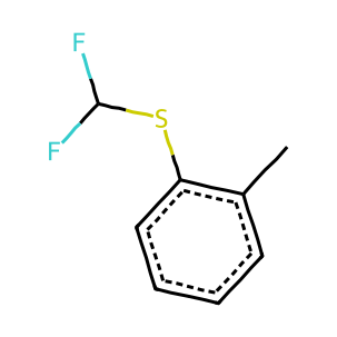 Cc1ccccc1SC(F)F